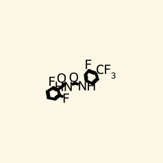 O=C(NC(=O)c1c(F)cccc1F)Nc1ccc(C(F)(F)F)c(F)c1